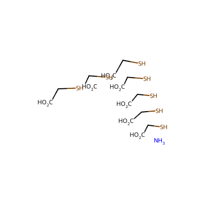 N.O=C(O)CS.O=C(O)CS.O=C(O)CS.O=C(O)CS.O=C(O)CS.O=C(O)CS.O=C(O)CS